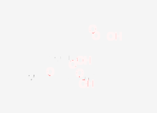 CCCCCCCCC(O)C(CCCCCCCC(=O)OC)OCCOC(CCCCCCCC)C(O)CCCCCCCC(=O)OCCCO